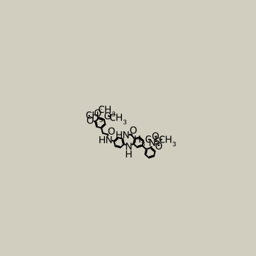 COc1cc(CC(=O)Nc2ccc3c(c2)NC(=O)c2ccc(-c4ccccc4N(C)S(C)(=O)=O)cc2N3)cc(OC)c1OC